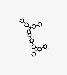 c1ccc(-c2ccc(N(c3ccc(-c4ccccc4)cc3)c3ccc4nc(-c5ccc(-c6ccc7c(c6)c6cc(-c8ccccc8)ccc6n7-c6ccccc6)cc5)sc4c3)cc2)cc1